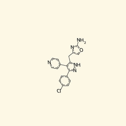 Nc1nc(Cc2[nH]nc(-c3ccc(Cl)cc3)c2-c2ccncc2)co1